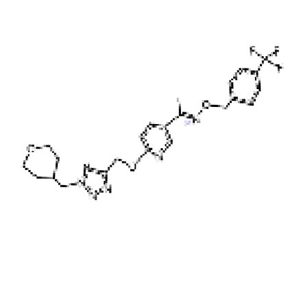 C/C(=N\OCc1ccc(C(F)(F)F)cc1)c1ccc(OCc2nnn(CC3CCOCC3)n2)nc1